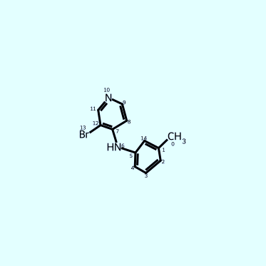 Cc1cccc(Nc2ccncc2Br)c1